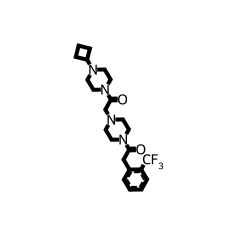 O=C(Cc1ccccc1C(F)(F)F)N1CCN(CC(=O)N2CCN(C3CCC3)CC2)CC1